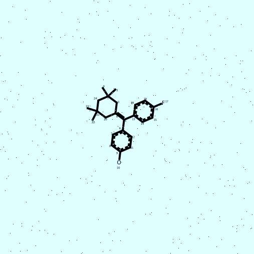 CC1(C)CC(=C(c2ccc([O])cc2)c2ccc(F)cc2)CC(C)(C)C1